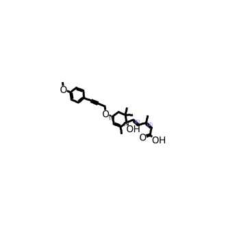 COc1ccc(C#CCO[C@@H]2C=C(C)[C@](O)(/C=C/C(C)=C\C(=O)O)C(C)(C)C2)cc1